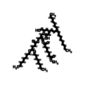 CCCCCCCCCC(CCCCCCC)CCN(CCCO)C[C@H](O)OCC(COC(=O)CCCCCC(=O)OC)COC(=O)CCC(OCCCCCCCC)OCCCCCCCC